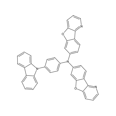 c1cnc2c(c1)oc1cc(N(c3ccc(-n4c5ccccc5c5ccccc54)cc3)c3ccc4c(c3)oc3cccnc34)ccc12